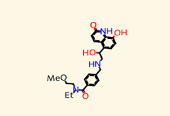 CCN(CCOC)C(=O)c1ccc(CNCC(O)c2ccc(O)c3[nH]c(=O)ccc23)cc1